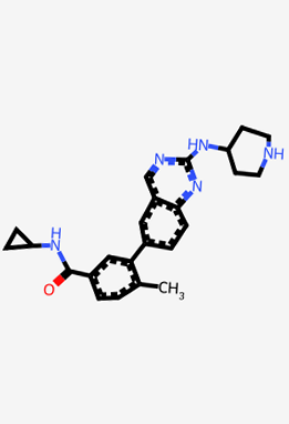 Cc1ccc(C(=O)NC2CC2)cc1-c1ccc2nc(NC3CCNCC3)ncc2c1